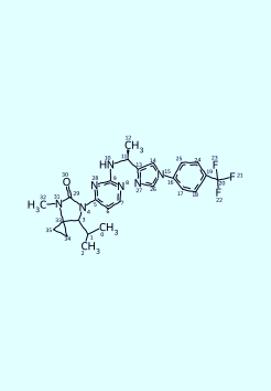 CC(C)C1N(c2ccnc(N[C@@H](C)c3cn(-c4ccc(C(F)(F)F)cc4)cn3)n2)C(=O)N(C)C12CC2